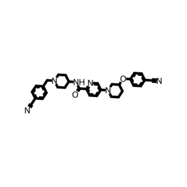 N#Cc1ccc(CN2CCC(NC(=O)c3ccc(N4CCCC(Oc5ccc(C#N)cc5)C4)cn3)CC2)cc1